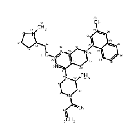 C=CC(=O)N1CCN(c2nc(OCC3CCCN3C)nc3c2CCN(c2cc(O)cc4ccccc24)C3)[C@@H](C)C1